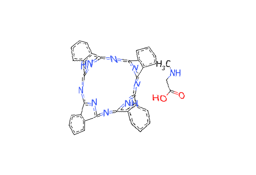 CNCC(=O)O.c1ccc2c(c1)-c1nc-2nc2[nH]c(nc3nc(nc4[nH]c(n1)c1ccccc41)-c1ccccc1-3)c1ccccc21